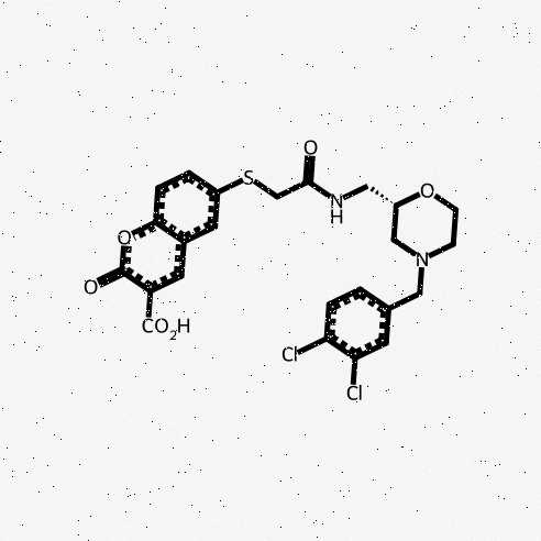 O=C(CSc1ccc2oc(=O)c(C(=O)O)cc2c1)NC[C@H]1CN(Cc2ccc(Cl)c(Cl)c2)CCO1